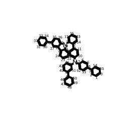 c1ccc(-c2ccc(N(c3ccc(-c4ccccc4-n4c5ccccc5c5cc(-c6ccccc6)ccc54)cc3)c3cccc(-c4ccccc4)c3)cc2)cc1